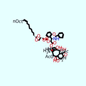 CCCCCCCC/C=C\CCCCCCC[C@H]1OC[C@@H](COC(=O)O[C@@H](C(=O)O[C@H]2C[C@@]3(O)[C@@H](O)C4[C@](C)(C(=O)[C@H](OC(C)=O)C(=C2C)C3(C)C)[C@@H](O)C[C@H]2OC[C@@]42OC(C)=O)[C@@H](NC(=O)c2ccccc2)c2ccccc2)O1